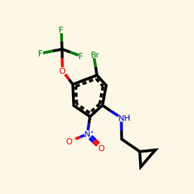 O=[N+]([O-])c1cc(OC(F)(F)F)c(Br)cc1NCC1CC1